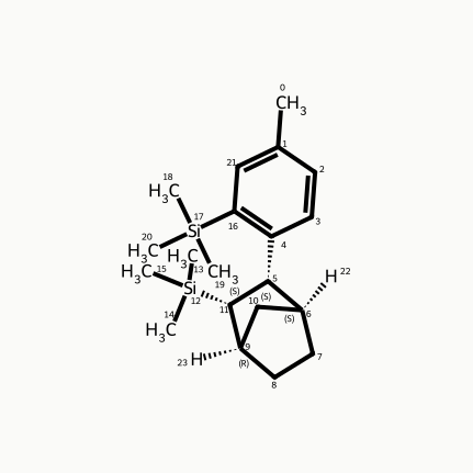 Cc1ccc([C@@H]2[C@H]3CC[C@H](C3)[C@@H]2[Si](C)(C)C)c([Si](C)(C)C)c1